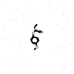 CC[C@@H](C#N)Oc1ccc(OC)cc1